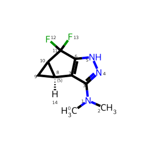 CN(C)c1n[nH]c2c1[C@H]1CC1C2(F)F